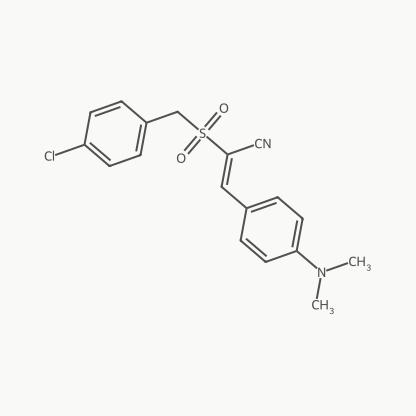 CN(C)c1ccc(/C=C(\C#N)S(=O)(=O)Cc2ccc(Cl)cc2)cc1